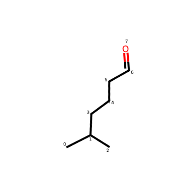 CC(C)C[CH]CC=O